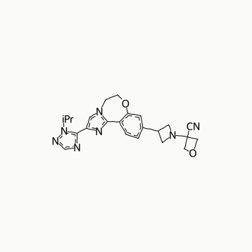 CC(C)n1ncnc1-c1cn2c(n1)-c1ccc(C3CN(C4(C#N)COC4)C3)cc1OCC2